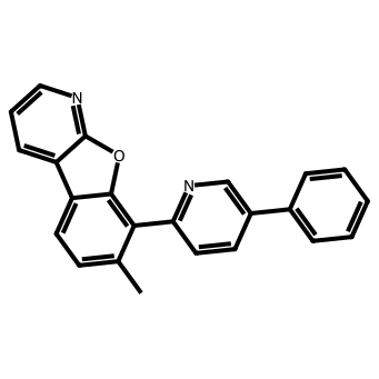 Cc1ccc2c(oc3ncccc32)c1-c1ccc(-c2ccccc2)cn1